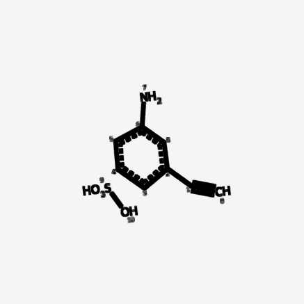 C#Cc1cccc(N)c1.O=S(=O)(O)O